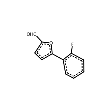 O=Cc1ccc(-c2ccccc2F)o1